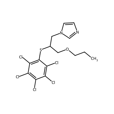 CCCOCC(Cn1ccnc1)Sc1c(Cl)c(Cl)c(Cl)c(Cl)c1Cl